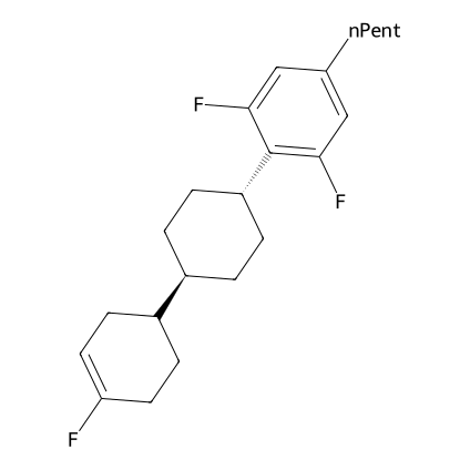 CCCCCc1cc(F)c([C@H]2CC[C@H](C3CC=C(F)CC3)CC2)c(F)c1